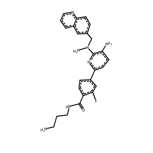 NCCCNC(=O)c1ccc(-c2ccc(N)c(N(N)Cc3ccc4ncccc4c3)n2)cc1F